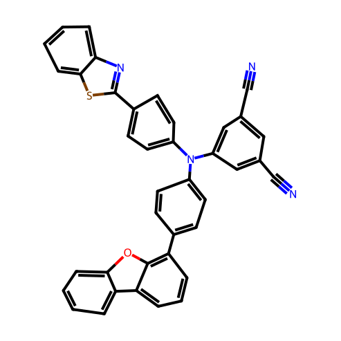 N#Cc1cc(C#N)cc(N(c2ccc(-c3nc4ccccc4s3)cc2)c2ccc(-c3cccc4c3oc3ccccc34)cc2)c1